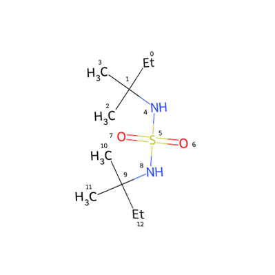 CCC(C)(C)NS(=O)(=O)NC(C)(C)CC